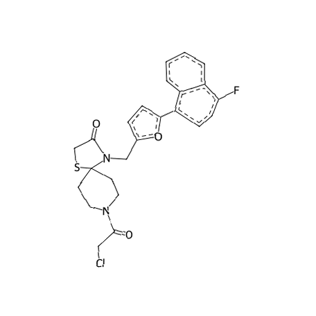 O=C(CCl)N1CCC2(CC1)SCC(=O)N2Cc1ccc(-c2ccc(F)c3ccccc23)o1